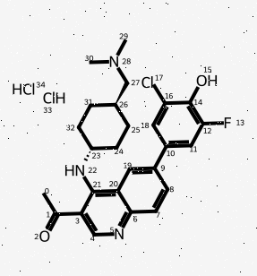 CC(=O)c1cnc2ccc(-c3cc(F)c(O)c(Cl)c3)cc2c1N[C@H]1CC[C@H](CN(C)C)CC1.Cl.Cl